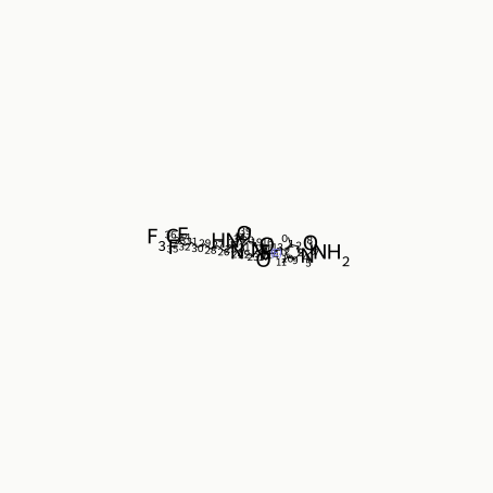 Cc1cc(N(C)C(N)=O)cc(C)c1/C=C/S(=O)(=O)N1CCC2(CC1)N=C(CCCCCCCC(F)(F)C(F)(F)F)NC2=O